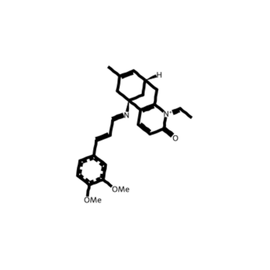 CC=[N+]1C(=O)C=CC2=C1C[C@H]1C=C(C)C[C@]2(N=CC=Cc2ccc(OC)c(OC)c2)C1